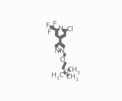 C[Si](C)(C)CCOCn1cc(-c2cc(Cl)nc(C(F)(F)F)c2)cn1